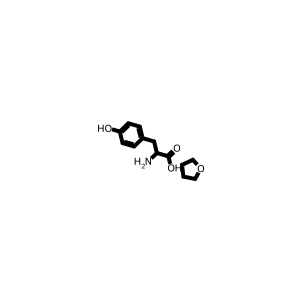 C1CCOC1.NC(Cc1ccc(O)cc1)C(=O)O